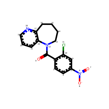 O=C(c1ccc([N+](=O)[O-])cc1Cl)N1CCCCc2ncccc21